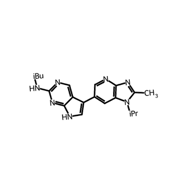 CCC(C)Nc1ncc2c(-c3cnc4nc(C)n(C(C)C)c4c3)c[nH]c2n1